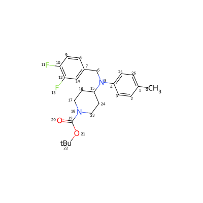 Cc1ccc(N(Cc2ccc(F)c(F)c2)C2CCN(C(=O)OC(C)(C)C)CC2)cc1